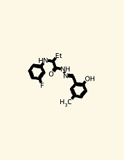 CCC(Nc1cccc(F)c1)C(=O)NN=Cc1cc(C)ccc1O